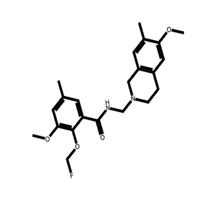 COc1cc2c(cc1C)CN(CNC(=O)c1cc(C)cc(OC)c1OCF)CC2